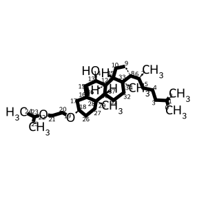 CC(C)CCC[C@@H](C)[C@H]1CC[C@H]2[C@@H]3[C@H](O)C=C4C[C@@H](OCCOC(C)C)CC[C@]4(C)[C@H]3CC[C@]12C